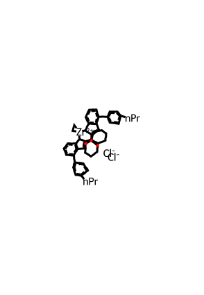 CCCc1ccc(-c2cccc3c2C=C(C2CCCCC2)[CH]3[Zr+2]2([CH]3C(C4CCCCC4)=Cc4c(-c5ccc(CCC)cc5)cccc43)[CH2][CH2]2)cc1.[Cl-].[Cl-]